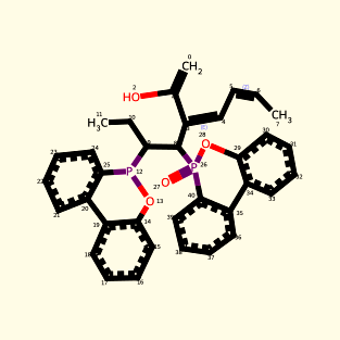 C=C(O)/C(=C\C=C/C)C(C(CC)P1Oc2ccccc2-c2ccccc21)P1(=O)Oc2ccccc2-c2ccccc21